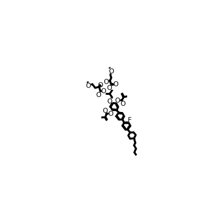 C=C(C)C(=O)Oc1cc(-c2ccc(-c3ccc(C4CCC(CCCCC)CC4)cc3F)cc2)c(OC(=O)C(=C)C)cc1OCC(COC(=O)C(=O)CCOC)COC(=O)C(=O)CCOC